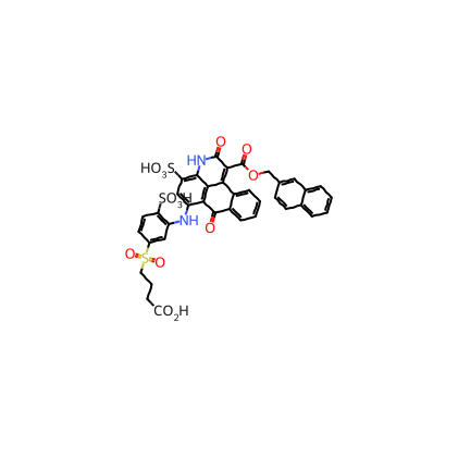 O=C(O)CCCS(=O)(=O)c1ccc(S(=O)(=O)O)c(Nc2cc(S(=O)(=O)O)c3[nH]c(=O)c(C(=O)OCc4ccc5ccccc5c4)c4c3c2C(=O)c2ccccc2-4)c1